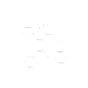 CC(C)(C)OC(=O)C(CN(Cc1ccccc1)Cc1ccccc1)CC1(OC=O)CCCC1